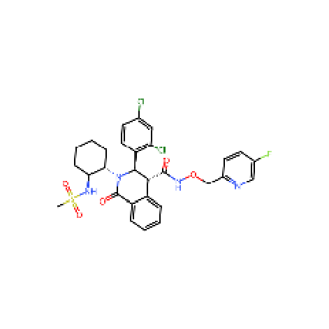 CS(=O)(=O)N[C@H]1CCCC[C@@H]1N1C(=O)c2ccccc2[C@@H](C(=O)NOCc2ccc(F)cn2)[C@@H]1c1ccc(Cl)cc1Cl